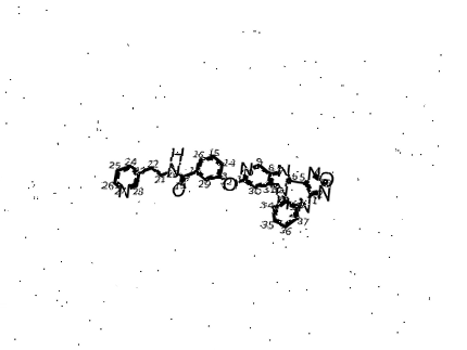 Nc1nonc1-c1nc2cnc(Oc3cccc(C(=O)NCCc4cccnc4)c3)cc2n1-c1ccccc1